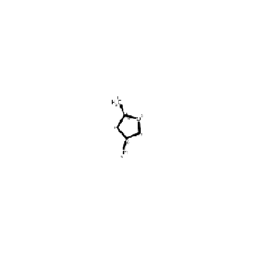 CC(C)[C@@H]1CO[C@H](C)C1